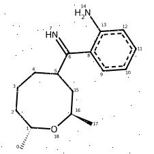 C[C@@H]1CCCC(C(=N)c2ccccc2N)C[C@@H](C)O1